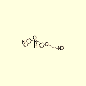 O=C(NCc1cccc(OCCCCCn2cccc2)c1)c1ccc2ncccc2c1